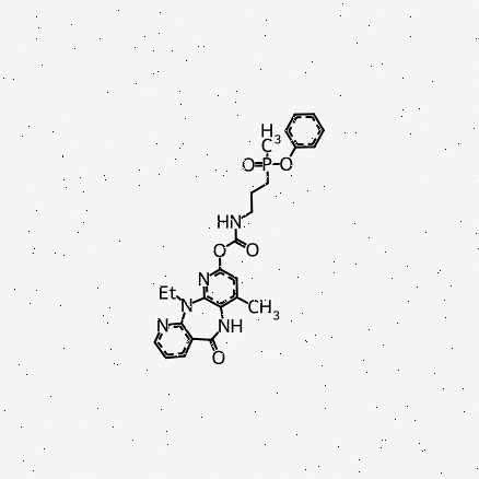 CCN1c2ncccc2C(=O)Nc2c(C)cc(OC(=O)NCCCP(C)(=O)Oc3ccccc3)nc21